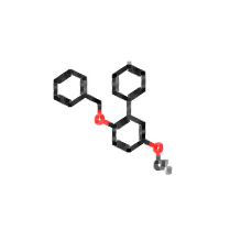 FC(F)(F)Oc1ccc(OCc2ccccc2)c(-c2cc[c]cc2)c1